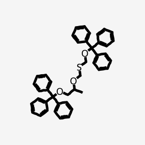 CC(COC(c1ccccc1)(c1ccccc1)c1ccccc1)OCSCOC(c1ccccc1)(c1ccccc1)c1ccccc1